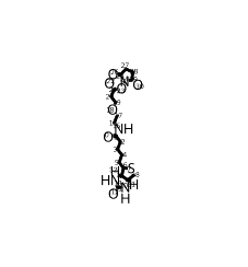 O=C(CCCCC1SC[C@@H]2NC(=O)N[C@H]12)NCCOCCC(=O)ON1C(=O)CCC1=O